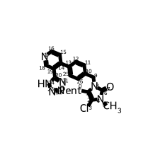 CCCCCc1c(Cl)n(C)c(=O)n1Cc1ccc(-c2ccncc2-c2nnn[nH]2)cc1